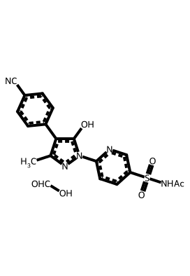 CC(=O)NS(=O)(=O)c1ccc(-n2nc(C)c(-c3ccc(C#N)cc3)c2O)nc1.O=CO